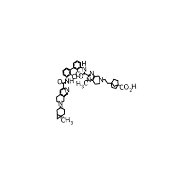 Cn1c(C(=O)Nc2cccc(-c3cccc(NC(=O)c4cc5c(cn4)CN([C@H]4CC[C@]6(C)CC6C4)CC5)c3Cl)c2Cl)nc2c1CCN(CCC13CCC(C(=O)O)(CC1)C3)C2